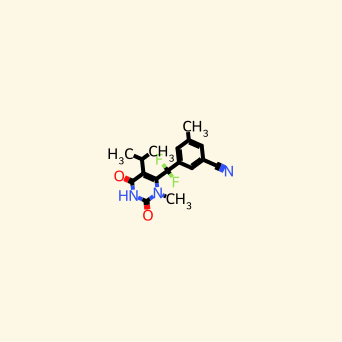 Cc1cc(C#N)cc(C(F)(F)c2c(C(C)C)c(=O)[nH]c(=O)n2C)c1